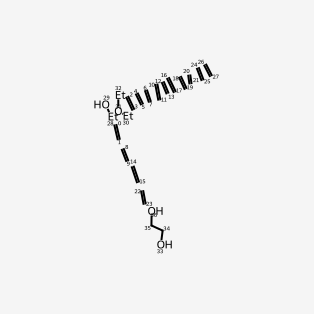 C=C.C=C.C=C.C=C.C=C.C=C.C=C.C=C.C=C.C=C.C=C.C=C.C=C.C=C.CCO.CCOCC.OCCO